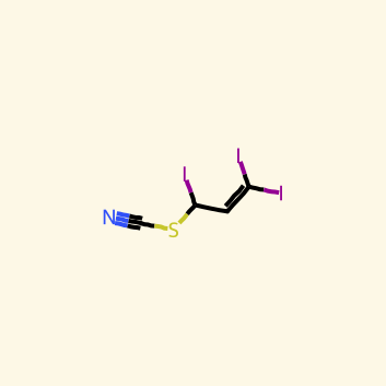 N#CSC(I)C=C(I)I